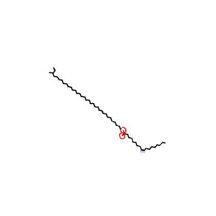 CCCCCCCC/C=C\CCCCCCCC(=O)OCCCCCCCCCCCCCCCCCCCCCCCCCCCCCCCC(C)CC